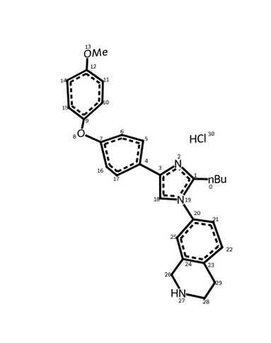 CCCCc1nc(-c2ccc(Oc3ccc(OC)cc3)cc2)cn1-c1ccc2c(c1)CNCC2.Cl